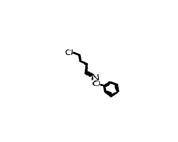 ClCCCC=NOc1ccccc1